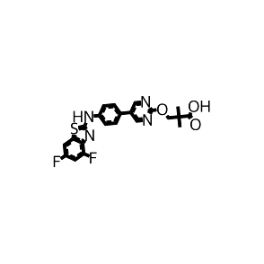 CC(C)(COc1ncc(-c2ccc(Nc3nc4c(F)cc(F)cc4s3)cc2)cn1)C(=O)O